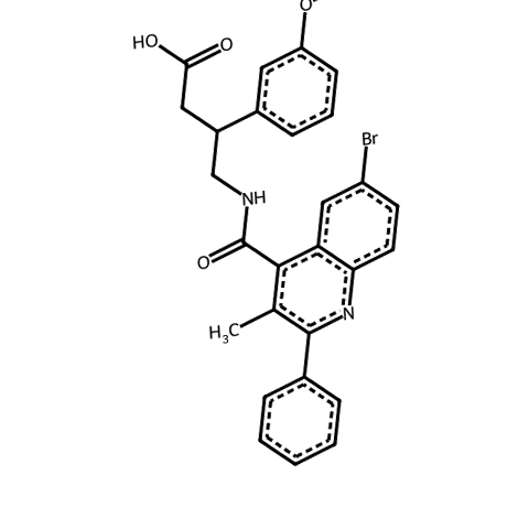 COc1cccc(C(CNC(=O)c2c(C)c(-c3ccccc3)nc3ccc(Br)cc23)CC(=O)O)c1